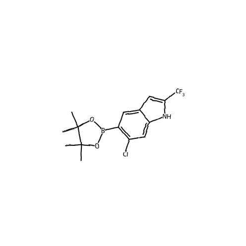 CC1(C)OB(c2cc3cc(C(F)(F)F)[nH]c3cc2Cl)OC1(C)C